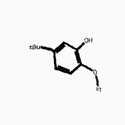 CCOc1ccc(C(C)(C)C)cc1O